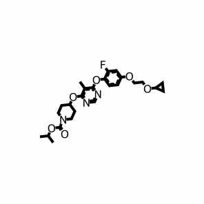 Cc1c(Oc2ccc(OCCOC3CC3)cc2F)ncnc1OC1CCN(C(=O)OC(C)C)CC1